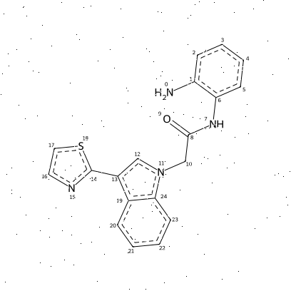 Nc1ccccc1NC(=O)Cn1cc(-c2nccs2)c2ccccc21